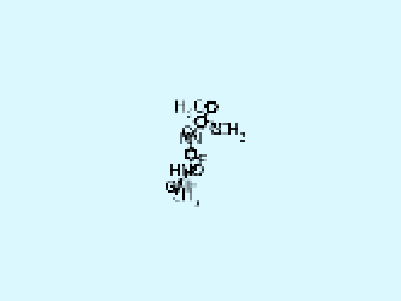 COCc1cc(-c2nc(-c3ccc(C(=O)NCCNC(C)=O)c(F)c3)no2)ccc1-c1ccccc1C